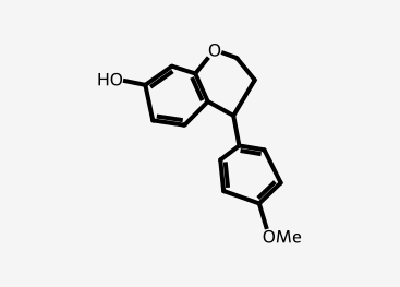 COc1ccc(C2CCOc3cc(O)ccc32)cc1